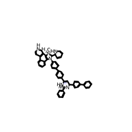 CNC(/C=C(\NCc1ccccc1)c1ccc(-c2ccc(N3c4c(c5c(c6ccccc46)C=CNC5)N(C)C3C3C=CC=CN3)cc2)cc1)c1ccc(-c2ccccc2)cc1